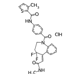 CNC(=O)/C=C1/c2ccccc2N(C(=O)c2ccc(NC(=O)c3sccc3C)cc2)CCC1(F)F.Cl